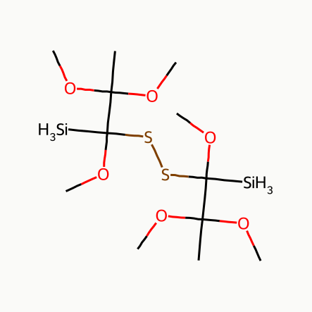 COC(C)(OC)C([SiH3])(OC)SSC([SiH3])(OC)C(C)(OC)OC